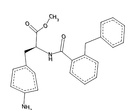 COC(=O)[C@H](Cc1ccc(N)cc1)NC(=O)c1ccccc1Cc1ccccc1